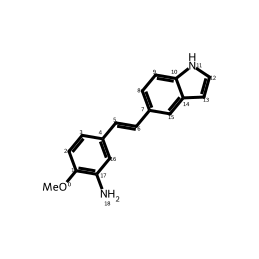 COc1ccc(C=Cc2ccc3[nH]ccc3c2)cc1N